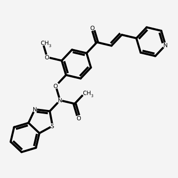 COc1cc(C(=O)/C=C/c2ccncc2)ccc1ON(C(C)=O)c1nc2ccccc2s1